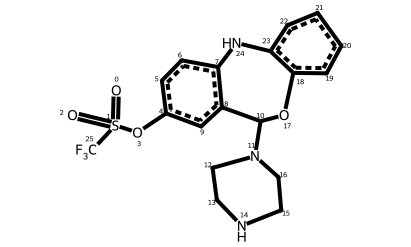 O=S(=O)(Oc1ccc2c(c1)C(N1CCNCC1)Oc1ccccc1N2)C(F)(F)F